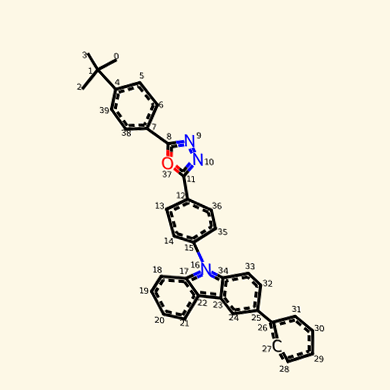 CC(C)(C)c1ccc(-c2nnc(-c3ccc(-n4c5ccccc5c5cc(-c6ccccc6)ccc54)cc3)o2)cc1